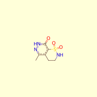 Cc1n[nH]c(=O)c2c1CCNS2(=O)=O